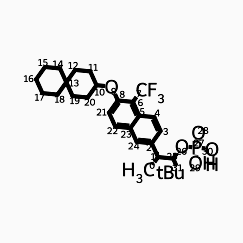 C[C](c1ccc2c(C(F)(F)F)c(OC3CCC4(CCCCC4)CC3)ccc2c1)C(OP(=O)(O)O)C(C)(C)C